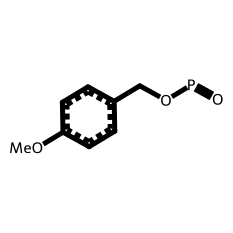 COc1ccc(COP=O)cc1